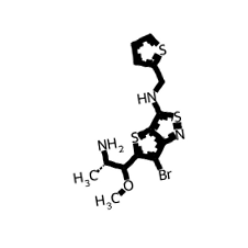 COC(c1sc2c(NCc3cccs3)snc2c1Br)[C@H](C)N